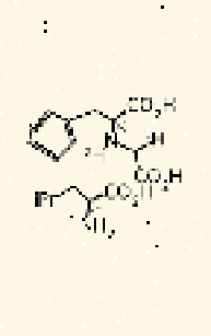 CC(C)C[C@H](N)C(=O)O.[2H]C(C(=O)O)N([2H])[C@@H](Cc1ccccc1)C(=O)O